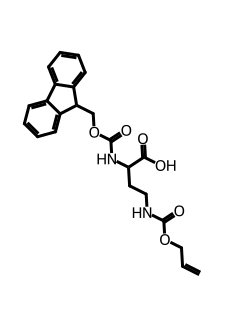 C=CCOC(=O)NCCC(NC(=O)OCC1c2ccccc2-c2ccccc21)C(=O)O